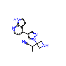 CC(C#N)C1(n2cc(-c3ccnc4[nH]ccc34)cn2)CNC1